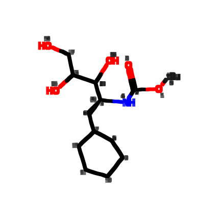 CC(C)(C)OC(=O)N[C@@H](CC1CCCCC1)C(O)C(O)CO